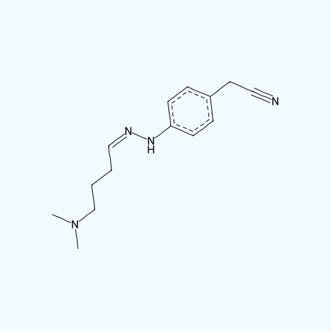 CN(C)CCC/C=N\Nc1ccc(CC#N)cc1